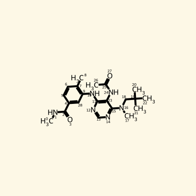 CNC(=O)c1ccc(C)c(Nc2ncnc(N(C)CC(C)(C)C)c2NC(C)=O)c1